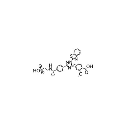 COc1cc(-[n+]2nc(-c3ccc(C(=O)NCCS(=O)(=O)O)cc3)nn2-c2nc3ccccc3s2)ccc1C(=O)O